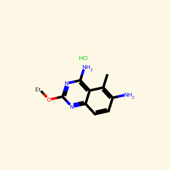 CCOc1nc(N)c2c(C)c(N)ccc2n1.Cl